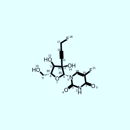 O=c1[nH]c(=O)n([C@@H]2O[C@H](CO)C(O)[C@]2(O)C#CCF)cc1F